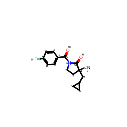 N#CC1(CC2CC2)CCN(C(=O)c2ccc(F)cc2)C1=O